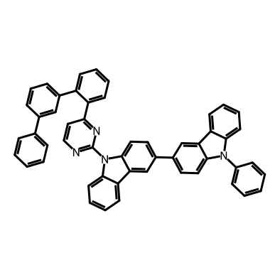 c1ccc(-c2cccc(-c3ccccc3-c3ccnc(-n4c5ccccc5c5cc(-c6ccc7c(c6)c6ccccc6n7-c6ccccc6)ccc54)n3)c2)cc1